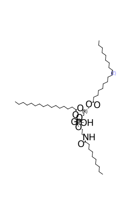 CCCCCCCC/C=C\CCCCCCCC(=O)OC[C@H](COP(=O)(O)OCCNC(=O)CCCCCCCCC)OC(=O)CCCCCCCCCCCCCCC